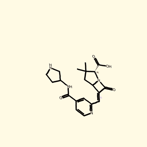 CC1(C)CC2/C(=C\c3cc(C(=O)NC4CCNC4)ccn3)C(=O)N2[C@H]1C(=O)O